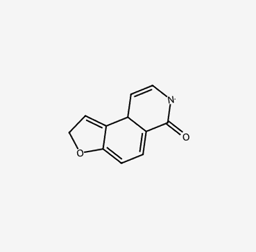 O=C1[N]C=CC2C1=CC=C1OCC=C12